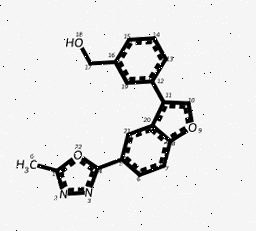 Cc1nnc(-c2ccc3occ(-c4cccc(CO)c4)c3c2)o1